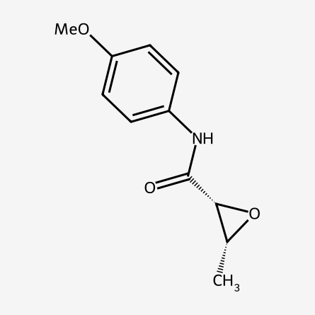 COc1ccc(NC(=O)[C@@H]2O[C@@H]2C)cc1